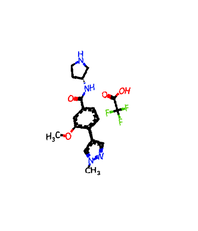 COc1cc(C(=O)N[C@@H]2CCNC2)ccc1-c1cnn(C)c1.O=C(O)C(F)(F)F